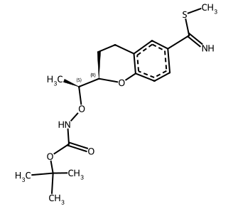 CSC(=N)c1ccc2c(c1)CC[C@H]([C@H](C)ONC(=O)OC(C)(C)C)O2